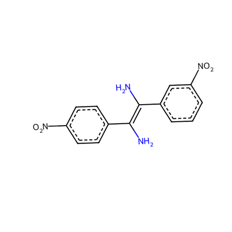 N/C(=C(/N)c1cccc([N+](=O)[O-])c1)c1ccc([N+](=O)[O-])cc1